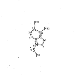 Fc1ccc2c(ccn2SI)c1F